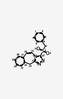 O=S(=O)(Cc1ccccc1)c1nnc2n1C=Cc1ccccc1C2